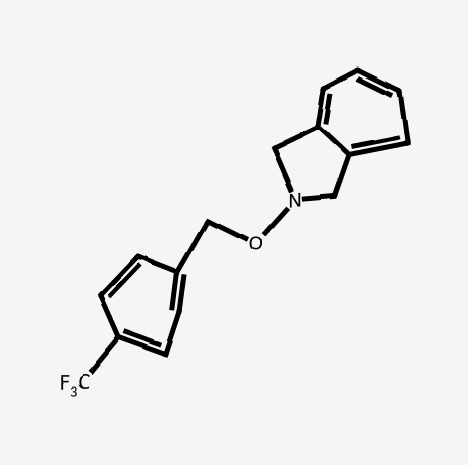 FC(F)(F)c1ccc(CON2Cc3ccccc3C2)cc1